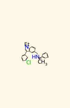 CCn1cc(-c2cccc(Cl)c2)c2cc(CN[C@H](C)c3ccccc3)ccc21